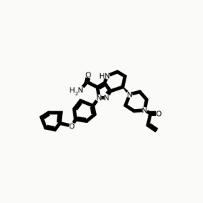 C=CC(=O)N1CCN([C@@H]2CCNc3c2nn(-c2ccc(Oc4ccccc4)cc2)c3C(N)=O)CC1